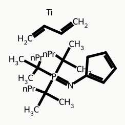 C=CC=C.CCCC(C)(C)P(=NC1=CC=CC1)(C(C)(C)CCC)C(C)(C)CCC.[Ti]